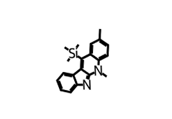 Cc1ccc2c(c1)c([Si](C)(C)C)c1c3ccccc3nc-1n2C